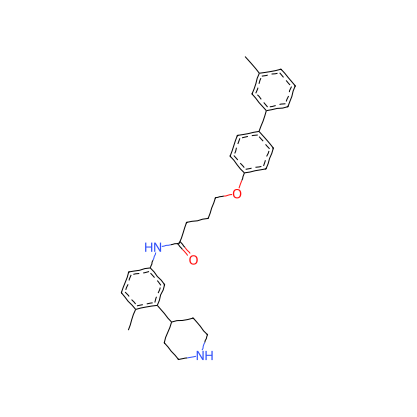 Cc1cccc(-c2ccc(OCCCC(=O)Nc3ccc(C)c(C4CCNCC4)c3)cc2)c1